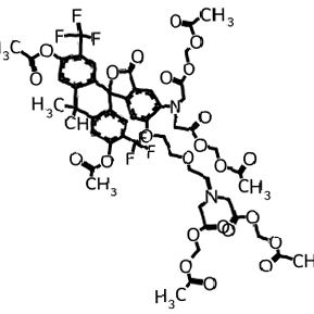 CC(=O)OCOC(=O)CN(CCOCCOc1cc2c(cc1N(CC(=O)OCOC(C)=O)CC(=O)OCOC(C)=O)C(=O)OC21c2cc(C(F)(F)F)c(OC(C)=O)cc2C(C)(C)c2cc(OC(C)=O)c(C(F)(F)F)cc21)CC(=O)OCOC(C)=O